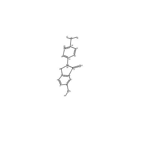 COc1ccc2c(c1)C(=O)N(c1ccc(C(C)C)nc1)C2